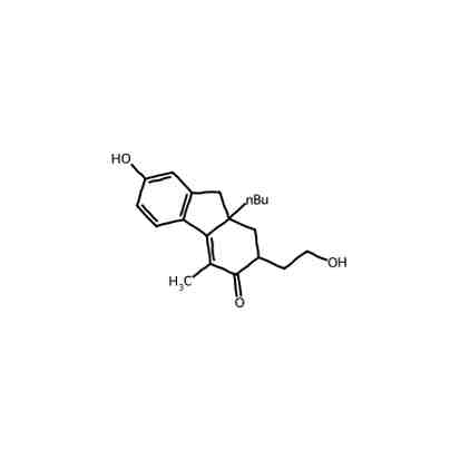 CCCCC12Cc3cc(O)ccc3C1=C(C)C(=O)C(CCO)C2